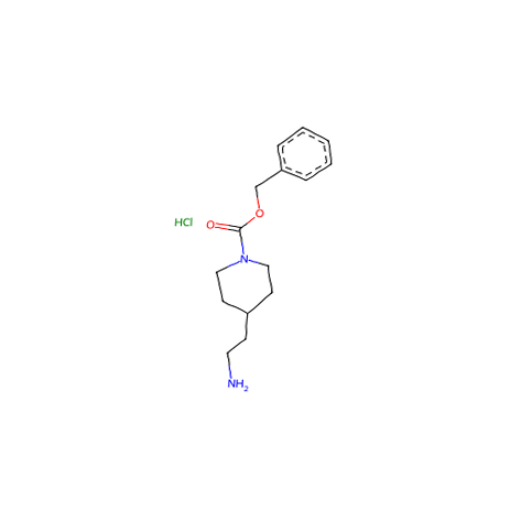 Cl.NCCC1CCN(C(=O)OCc2ccccc2)CC1